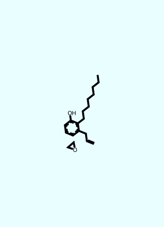 C1CO1.C=CCc1cccc(O)c1CCCCCCCC